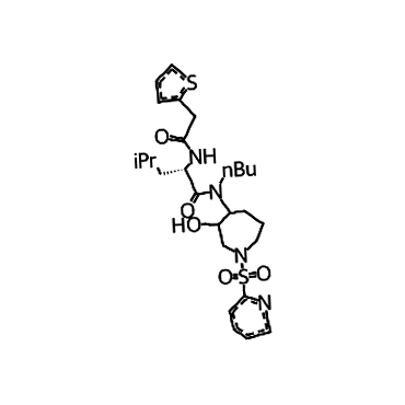 CCCCN(C(=O)[C@H](CC(C)C)NC(=O)Cc1cccs1)C1CCCN(S(=O)(=O)c2ccccn2)CC1O